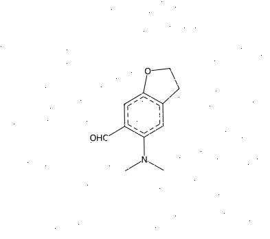 CN(C)c1cc2c(cc1C=O)OCC2